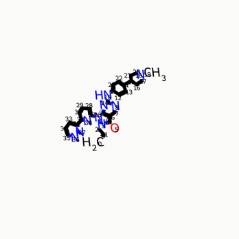 C=CCn1c(=O)c2cnc(Nc3ccc(C4CCN(C)CC4)cc3)nc2n1-c1cccc(-c2cccnn2)n1